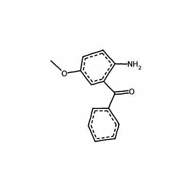 COc1ccc(N)c(C(=O)c2ccccc2)c1